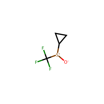 [O-][S+](C1CC1)C(F)(F)F